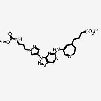 CC(C)(C)OC(=O)NCCCn1cc(-n2nnc3cnc(NC4=CC(CCCC(=O)O)CCN=C4)nc32)cn1